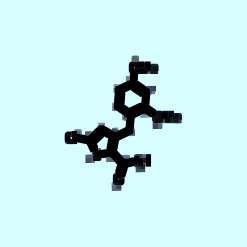 COc1ccc(Cc2cc(Cl)sc2C(=O)S)c(OC)c1